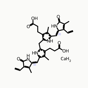 C=CC1=C(C)/C(=C/c2[nH]c(Cc3[nH]c(/C=C4\NC(=O)C(C)=C4C=C)c(C)c3CCC(=O)O)c(CCC(=O)O)c2C)NC1=O.[CaH2]